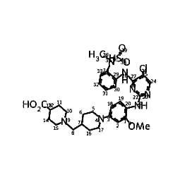 COc1cc(N2CCC(CN3CCC(C(=O)O)CC3)CC2)ccc1Nc1ncc(Cl)c(Nc2ccccc2N(C)[SH](=O)=O)n1